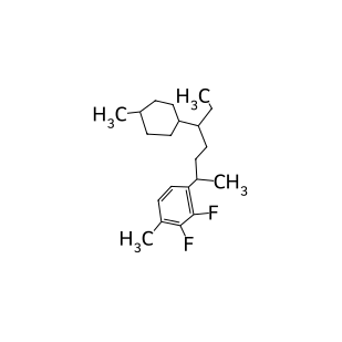 CCC(CCC(C)c1ccc(C)c(F)c1F)C1CCC(C)CC1